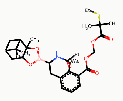 CCSC(C)(C)C(=O)OCOC(=O)c1cccc(CC(NC(=O)CC)B2OC3CC4CC(C4(C)C)C3(C)O2)c1OC